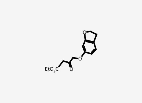 CCOC(=O)CC(=O)COc1ccc2c(c1)OCC2